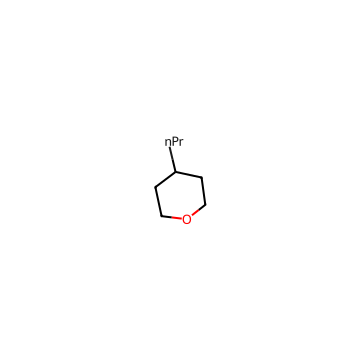 CCCC1CCOCC1